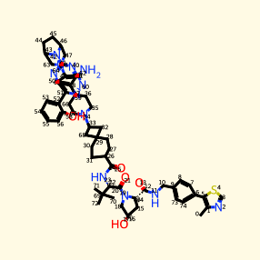 Cc1ncsc1-c1ccc(CNC(=O)[C@@H]2C[C@@H](O)CN2C(=O)[C@@H](NC(=O)C2CCC3(CC2)CC(N2CCC(c4cnc(N5C6CCC5CN(c5cc(-c7ccccc7O)nnc5N)C6)nc4)CC2)C3)C(C)(C)C)cc1